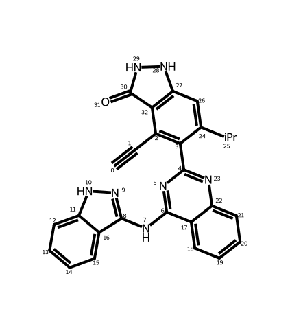 C#Cc1c(-c2nc(Nc3n[nH]c4ccccc34)c3ccccc3n2)c(C(C)C)cc2[nH][nH]c(=O)c12